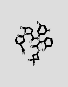 N#Cc1ccnc(N2C(=O)CCC2C(=O)N(c2cc(F)cc(F)c2)[C@H](C(=O)NC2CC(F)(F)C2)c2ccccc2F)c1